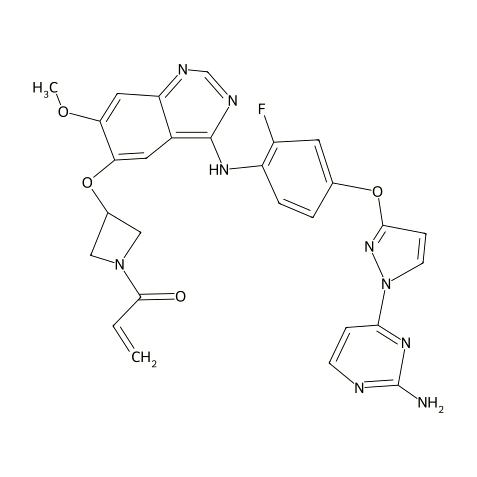 C=CC(=O)N1CC(Oc2cc3c(Nc4ccc(Oc5ccn(-c6ccnc(N)n6)n5)cc4F)ncnc3cc2OC)C1